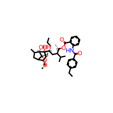 CCC[C@H](CC(C(C)C)[C@H](C)OC(=O)c1ccccc1NC(=O)c1ccc(CC)cc1)[C@@]1(O)C[C@H](OC)C2CC(C)[C@]1(O)[C@H]2OC